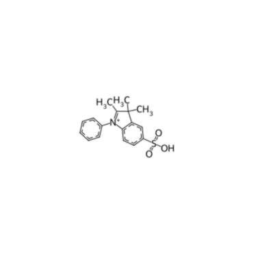 CC1=[N+](c2ccccc2)c2ccc(S(=O)(=O)O)cc2C1(C)C